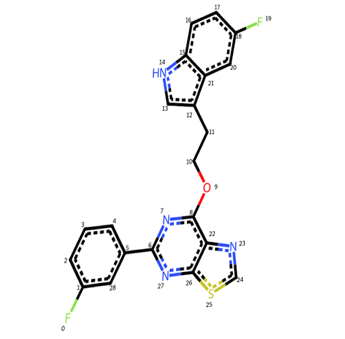 Fc1cccc(-c2nc(OCCc3c[nH]c4ccc(F)cc34)c3ncsc3n2)c1